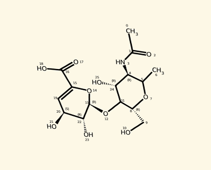 CC(=O)N[C@H]1C(C)O[C@H](CO)C(O[C@@H]2OC(C(=O)O)=C[C@H](O)[C@H]2O)[C@@H]1O